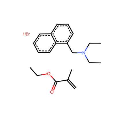 Br.C=C(C)C(=O)OCC.CCN(CC)Cc1cccc2ccccc12